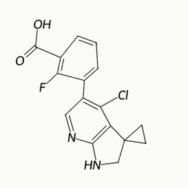 O=C(O)c1cccc(-c2cnc3c(c2Cl)C2(CC2)CN3)c1F